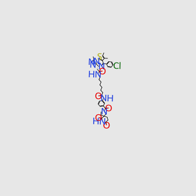 Cc1sc2c(c1C)C(c1ccc(Cl)cc1)=N[C@H](CC(=O)NCCCCCCCC(=O)Nc1cccc(C(=O)N3CCC4(CCC(=O)NC4=O)C3)c1)c1nnc(C)n1-2